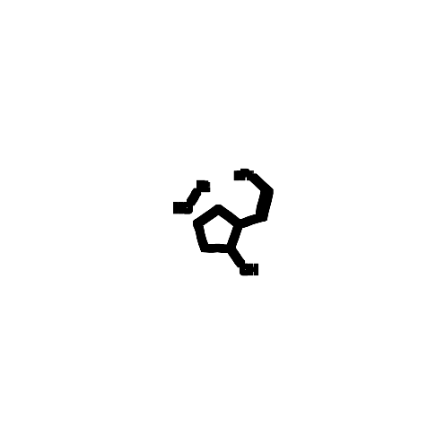 CCC/C=C\C1CCCC1O.CCO